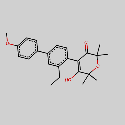 CCc1cc(-c2ccc(OC)cc2)ccc1C1=C(O)C(C)(C)OC(C)(C)C1=O